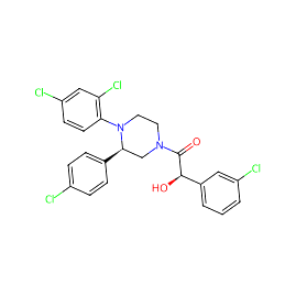 O=C([C@H](O)c1cccc(Cl)c1)N1CCN(c2ccc(Cl)cc2Cl)[C@H](c2ccc(Cl)cc2)C1